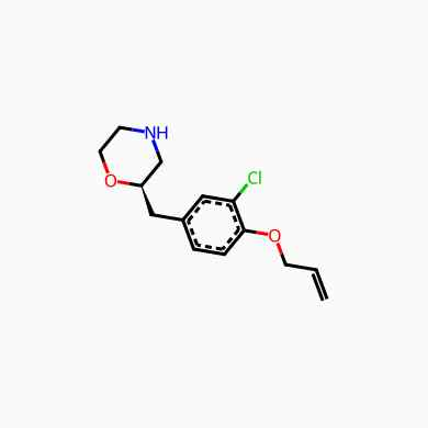 C=CCOc1ccc(C[C@@H]2CNCCO2)cc1Cl